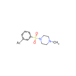 CC(=O)c1cccc(S(=O)(=O)N2CCN(C)CC2)c1